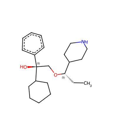 CC[C@H](OC[C@@](O)(c1ccccc1)C1CCCCC1)C1CCNCC1